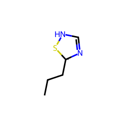 CCC[C]1N=CNS1